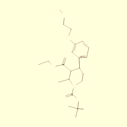 CCOC(=O)C1C(c2cccc(OCCOC)c2)CCN(C(=O)OC(C)(C)C)C1C